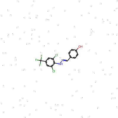 Oc1ccc(C=NNc2c(Cl)cc(C(F)(F)F)cc2Cl)cc1